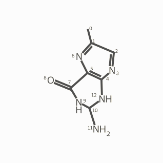 Cc1cnc2c(n1)C(=O)NC(N)N2